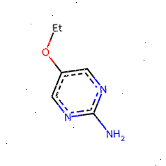 CCOc1cnc(N)nc1